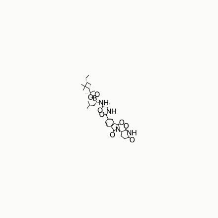 CC[C@@H]1C[C@H]([C@@]2(C)COB([C@H](CC(C)C)NC(=O)[C@H](C)NC(=O)c3ccc4c(c3)C(=O)N(C3CCC(=O)NC3=O)C4=O)O2)C1(C)C